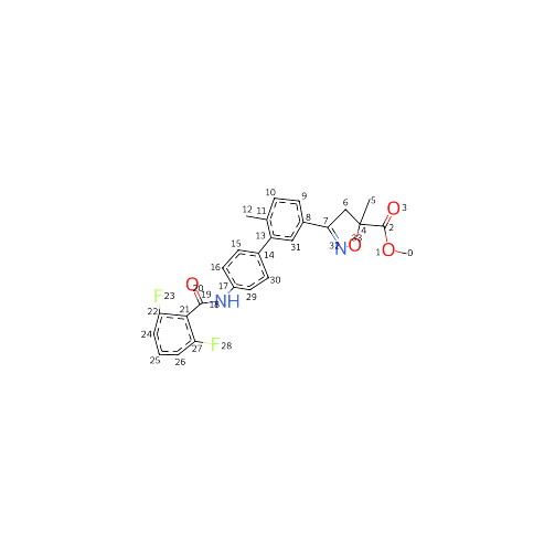 COC(=O)C1(C)CC(c2ccc(C)c(-c3ccc(NC(=O)c4c(F)cccc4F)cc3)c2)=NO1